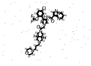 O=C(Nc1cn(CC(=O)N2C[C@H]3CN(CCCN4CCOCC4)C[C@H]3C2)nc1-c1cc(Cl)ccc1OC(F)F)c1cnn2cccnc12